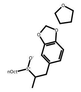 C1CCOC1.CCCCCCCC[S+]([O-])C(C)Cc1ccc2c(c1)OCO2